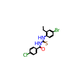 CCc1cc(Br)ccc1NC(=S)NC(=O)c1ccc(Cl)cc1